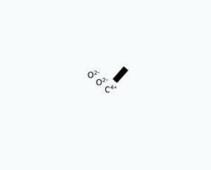 C=C.[C+4].[O-2].[O-2]